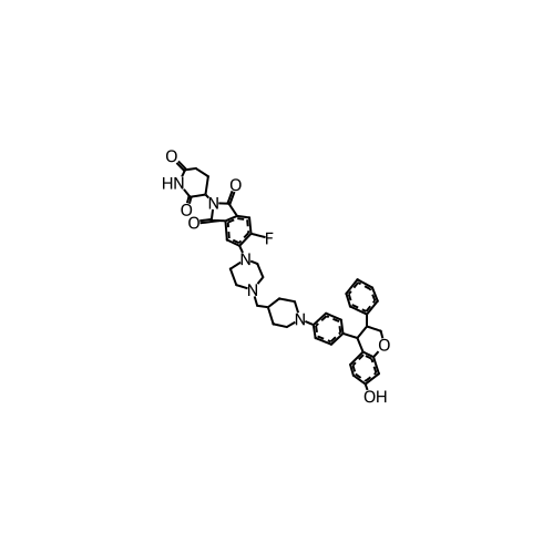 O=C1CCC(N2C(=O)c3cc(F)c(N4CCN(CC5CCN(c6ccc(C7c8ccc(O)cc8OCC7c7ccccc7)cc6)CC5)CC4)cc3C2=O)C(=O)N1